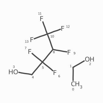 CCO.OCC(F)(F)C(F)C(F)(F)F